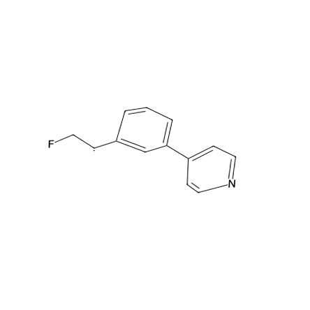 FC[CH]c1cccc(-c2ccncc2)c1